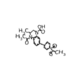 CC(=O)N1c2ccc(-c3ccc(S(C)(=O)=O)cc3)cc2N(C(=O)O)CC1C